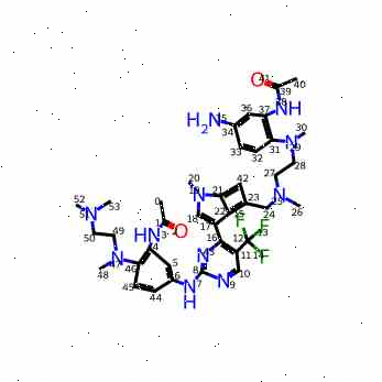 CC(=O)Nc1cc(Nc2ncc(C(F)(F)F)c(-c3cn(C)c4c3=C(CN(C)CCN(C)c3ccc(N)cc3NC(C)=O)C=4)n2)ccc1N(C)CCN(C)C